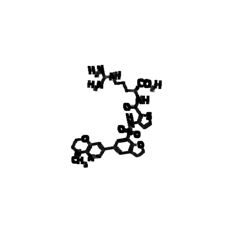 CN1CCOc2cc(-c3cc4c(c(S(=O)(=O)Nc5ccsc5C(=O)N[C@@H](CCCNC(N)N)C(=O)O)c3)OCC4)cnc21